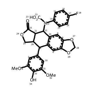 COc1cc(C2c3cc4c(cc3C(N(C(=O)O)c3ccc(F)cc3)C3C(=O)OCC23)OCO4)cc(OC)c1O